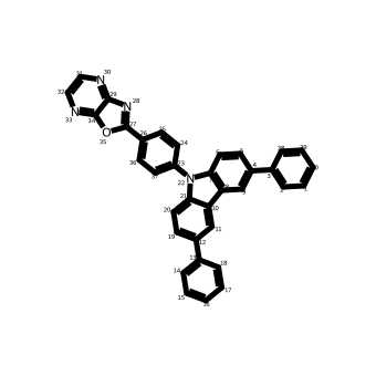 c1ccc(-c2ccc3c(c2)c2cc(-c4ccccc4)ccc2n3-c2ccc(-c3nc4nccnc4o3)cc2)cc1